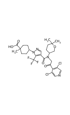 CC1(C)CCC(N(CC(=O)c2c(Cl)cncc2Cl)C(=O)c2cnn(C3CCC(C)(C(=O)O)CC3)c2C(F)(F)F)CO1